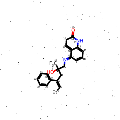 CCC=C(CC(O)(CN=C1C=CC=C2NC(=O)CC=C21)C(F)(F)F)c1ccccc1